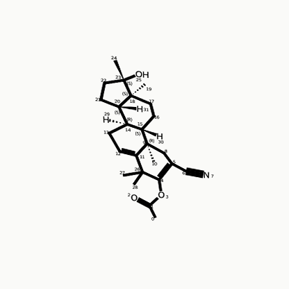 CC(=O)OC1=C(C#N)C[C@@]2(C)C(=CC[C@@H]3[C@@H]2CC[C@@]2(C)[C@H]3CC[C@]2(C)O)C1(C)C